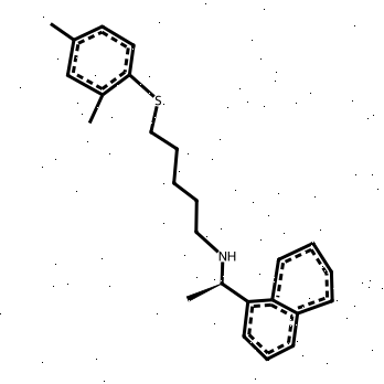 Cc1ccc(SCCCCCN[C@H](C)c2cccc3ccccc23)c(C)c1